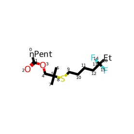 CCCCCC(=O)OCC(C)(C)SCCCCC(F)(F)CC